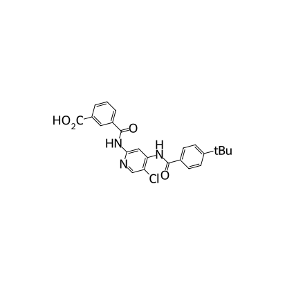 CC(C)(C)c1ccc(C(=O)Nc2cc(NC(=O)c3cccc(C(=O)O)c3)ncc2Cl)cc1